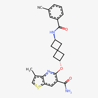 Cc1csc2cc(C(N)=O)c(O[C@H]3CC4(C[C@H](NC(=O)c5cccc(C#N)c5)C4)C3)nc12